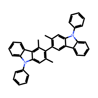 Cc1cc2c(cc1-c1c(C)cc3c(c1C)c1ccccc1n3-c1ccccc1)c1ccccc1n2-c1ccccc1